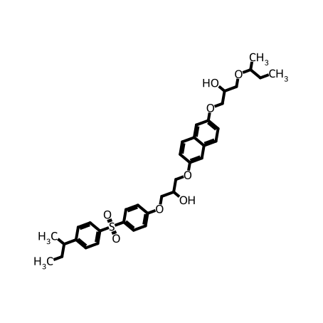 CCC(C)OCC(O)COc1ccc2cc(OCC(O)COc3ccc(S(=O)(=O)c4ccc(C(C)CC)cc4)cc3)ccc2c1